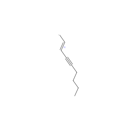 [CH2]/C=C/C#CCCCC